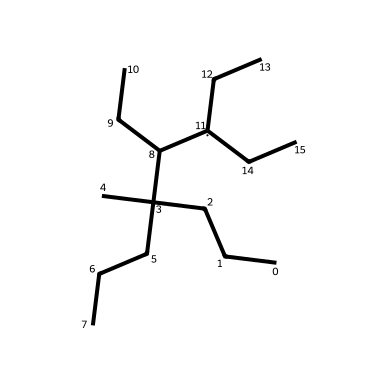 CCCC(C)(CCC)C(CC)[C](CC)CC